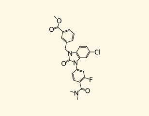 COC(=O)c1cccc(Cn2c(=O)n(-c3ccc(C(=O)N(C)C)c(F)c3)c3cc(Cl)ccc32)c1